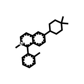 Cc1ccccc1-c1c2ccc(C3CCC(C)(C)CC3)cc2cc[n+]1C